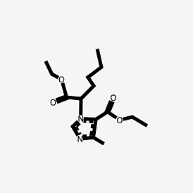 CCCCC(C(=O)OCC)n1cnc(C)c1C(=O)OCC